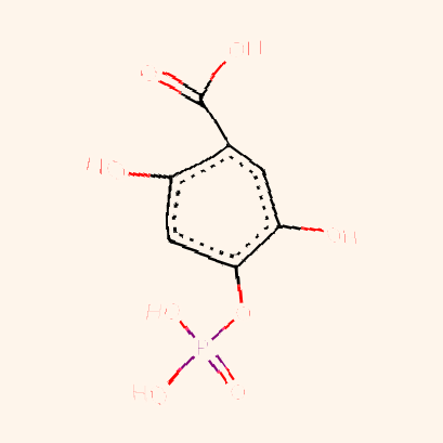 O=C(O)c1cc(O)c(OP(=O)(O)O)cc1O